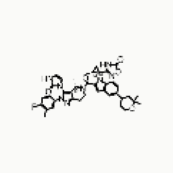 Cc1cc(-n2nc3c(c2-n2cc[nH]c2=O)[C@H](C)N(C(=O)c2cc4cc(C5CCOC(C)(C)C5)ccc4n2[C@@]2(c4noc(=O)[nH]4)C[C@@H]2C)CC3)ccc1F